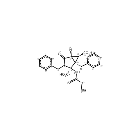 CC(C)(C)OC(=O)N[C@@]1(C(=O)O)C(Cc2ccccc2)C(=O)[C@@H]2[C@@H](C(=O)O)[C@]21Cc1ccccc1